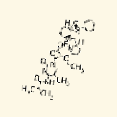 CCO[C@H]1C(O[P@@]2O[C@H](C[Si](C)(c3ccccc3)c3ccccc3)[C@@H]3CCCN32)O[C@H]1n1cc(C)c(NC(=O)C(C)C)nc1=O